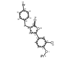 CC(C)Oc1ccc(-c2nn(Cc3ccc(Br)cc3)c(=O)o2)cc1Cl